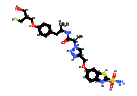 CC(C)[C@@H](C(=O)NC(Cc1ccc(OCC(CO)CF)cc1)C(=O)O)n1cc(COc2ccc3nc(S(N)(=O)=O)sc3c2)nn1